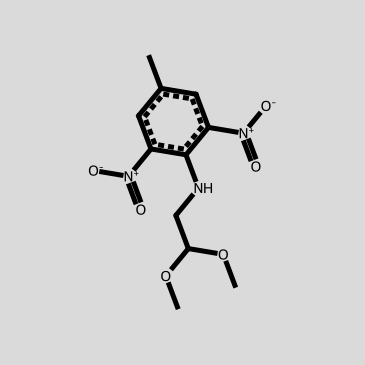 COC(CNc1c([N+](=O)[O-])cc(C)cc1[N+](=O)[O-])OC